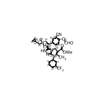 COC(=O)C1=C(C)N(c2cccc(C(F)(F)F)c2)c2n[nH]c(=O)n2[C@@H]1c1ccc(C#N)cc1CC[N+](C)(C)CC1CC1.O=C[O-]